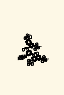 Nc1cc(N(C=O)c2cc(S(=O)(=O)[O-])cc3cc(S(=O)(=O)[O-])ccc23)cc(N(C=O)c2cc(S(=O)(=O)[O-])cc3cc(S(=O)(=O)[O-])ccc23)c1.[Na+].[Na+].[Na+].[Na+]